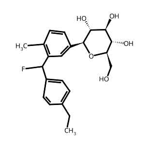 CCc1ccc(C(F)c2cc([C@@H]3O[C@H](CO)[C@@H](O)[C@H](O)[C@H]3O)ccc2C)cc1